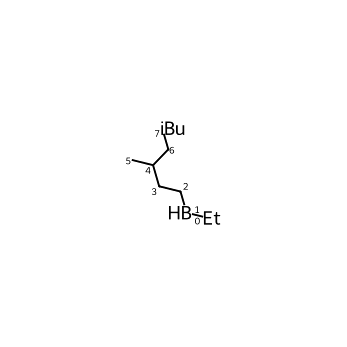 CCBCCC(C)CC(C)CC